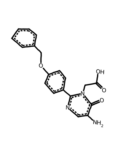 Nc1cnc(-c2ccc(OCc3ccccc3)cc2)n(CC(=O)O)c1=O